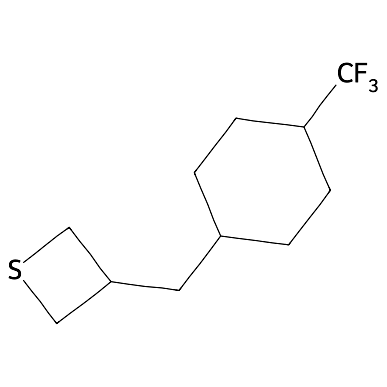 FC(F)(F)C1CCC(CC2CSC2)CC1